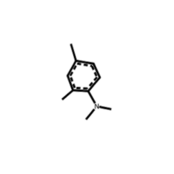 Cc1ccc(N(C)C)c(C)c1